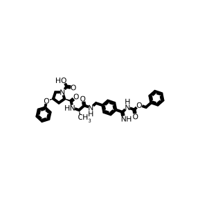 C[C@H](NC(=O)[C@H]1C[C@H](Oc2ccccc2)CN1C(=O)O)C(=O)NCc1ccc(C(=N)NC(=O)OCc2ccccc2)cc1